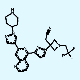 N#CCC1(n2ccc(-c3nc(-c4cnn(C5CCNCC5)c4)cc4ncccc34)n2)CN(CC(F)(F)F)C1